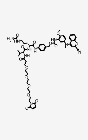 COc1ccc(N(C)c2cc(C#N)nc3ccccc23)cc1NC(=O)OCc1ccc(NC(=O)[C@@H](CCCNC(N)=O)NC(=O)[C@H](NC(=O)CCOCCOCCOCCOCCN2C(=O)C=CC2=O)C(C)C)cc1